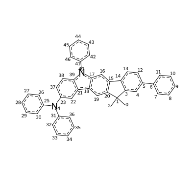 CC1(C)c2cc(-c3ccccc3)ccc2-c2cc3c(cc21)c1cc(N(c2ccccc2)c2ccccc2)ccc1n3-c1ccccc1